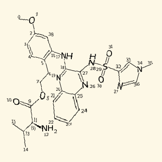 COc1ccc(CCOC(=O)[C@@H](N)C(C)C)c(Nc2nc3ccccc3nc2NS(=O)(=O)c2cn(C)cn2)c1